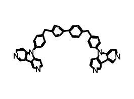 c1cc2c(cn1)c1cnccc1n2-c1ccc(Cc2ccc(-c3ccc(Cc4ccc(-n5c6ccncc6c6cnccc65)cc4)cc3)cc2)cc1